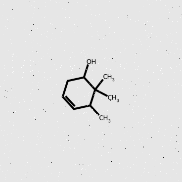 CC1C=CCC(O)C1(C)C